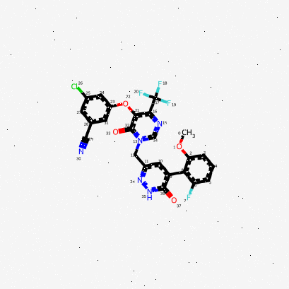 COc1cccc(F)c1-c1cc(Cn2cnc(C(F)(F)F)c(Oc3cc(Cl)cc(C#N)c3)c2=O)n[nH]c1=O